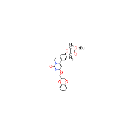 CC(C)(C)OC(=O)C(C)(C)Oc1ccc2c(c1)CCn1c-2cc(OCC2COc3ccccc3O2)nc1=O